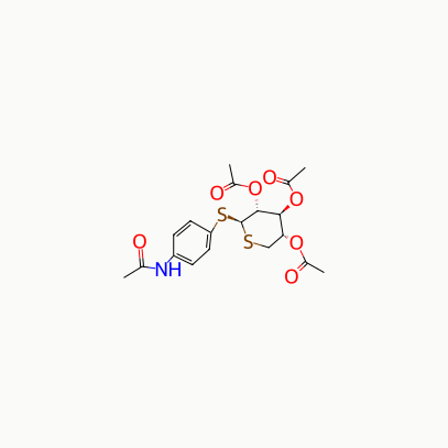 CC(=O)Nc1ccc(S[C@@H]2SC[C@@H](OC(C)=O)[C@H](OC(C)=O)[C@H]2OC(C)=O)cc1